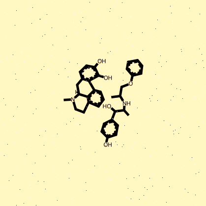 CC(COc1ccccc1)NC(C)C(O)c1ccc(O)cc1.CN1CCc2cccc3c2[C@H]1Cc1ccc(O)c(O)c1-3